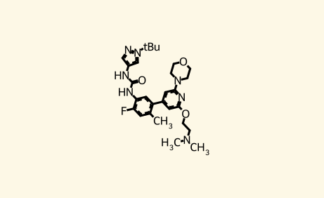 Cc1cc(F)c(NC(=O)Nc2cnn(C(C)(C)C)c2)cc1-c1cc(OCCN(C)C)nc(N2CCOCC2)c1